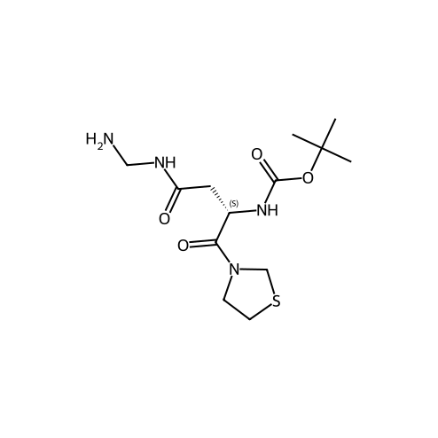 CC(C)(C)OC(=O)N[C@@H](CC(=O)NCN)C(=O)N1CCSC1